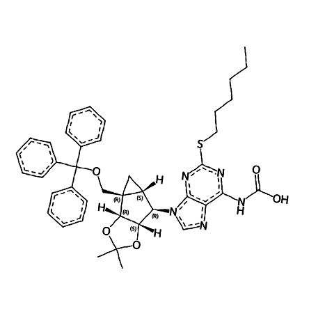 CCCCCCSc1nc(NC(=O)O)c2ncn([C@H]3[C@@H]4OC(C)(C)O[C@@H]4[C@]4(COC(c5ccccc5)(c5ccccc5)c5ccccc5)C[C@H]34)c2n1